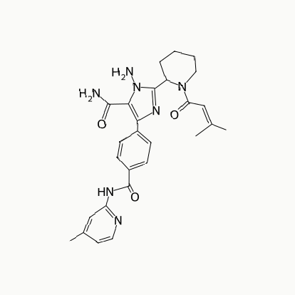 CC(C)=CC(=O)N1CCCCC1c1nc(-c2ccc(C(=O)Nc3cc(C)ccn3)cc2)c(C(N)=O)n1N